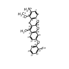 COc1c(N)cccc1Cc1c(C)c2ccc(Oc3ncccc3F)cc2oc1=O